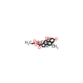 C=CC(=O)OCC(=O)[C@@]1(O)CC[C@H]2[C@@H]3C[C@H](C)C4=CC(=O)C=C[C@]4(C)[C@H]3C(O)C[C@@]21C